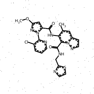 COc1cc(C(=O)Nc2c(C)cc3ccnn3c2C(=O)NCc2nccs2)n(-c2ncccc2Cl)n1